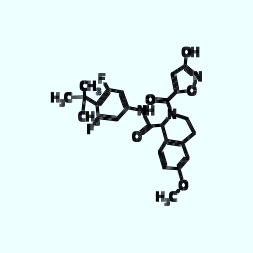 COc1ccc2c(c1)CCN(C(=O)c1cc(O)no1)C2C(=O)Nc1cc(F)c(C(C)(C)C)c(F)c1